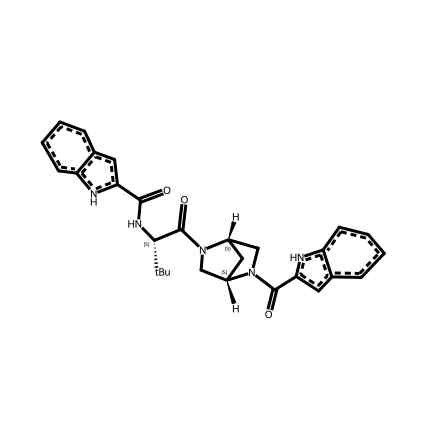 CC(C)(C)[C@H](NC(=O)c1cc2ccccc2[nH]1)C(=O)N1C[C@@H]2C[C@H]1CN2C(=O)c1cc2ccccc2[nH]1